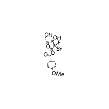 COc1ccc(C(=O)O[C@H]2O[C@H](CO)[C@@H](O)[C@]2(F)Br)cc1